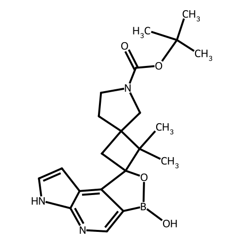 CC(C)(C)OC(=O)N1CCC2(C1)CC1(OB(O)c3cnc4[nH]ccc4c31)C2(C)C